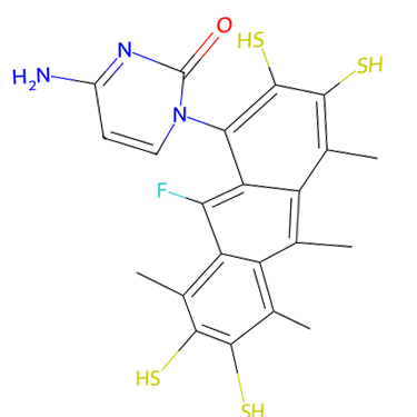 Cc1c(S)c(S)c(C)c2c(F)c3c(-n4ccc(N)nc4=O)c(S)c(S)c(C)c3c(C)c12